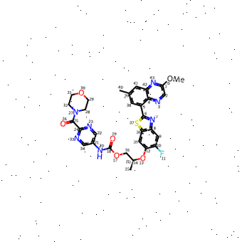 COc1cnc2c(-c3nc4cc(F)c(O[C@@H](C)COC(=O)Nc5cnc(C(=O)N6CCOCC6)nc5)cc4s3)cc(C)cc2n1